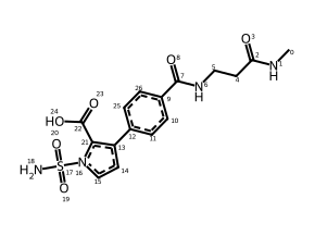 CNC(=O)CCNC(=O)c1ccc(-c2ccn(S(N)(=O)=O)c2C(=O)O)cc1